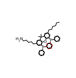 CCCCCCc1cc(P(c2ccccc2)c2ccccc2)c2c(c1)C(C)(C)c1cc(CCCCCN)cc(P(c3ccccc3)c3ccccc3)c1O2